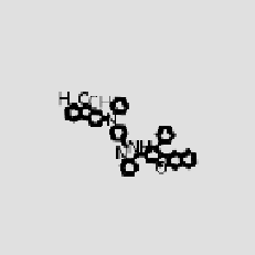 CC1(C)c2ccccc2-c2ccc(N(c3ccccc3)c3ccc(C4=Nc5ccccc5C(c5cc(-c6ccccc6)c6c(c5)oc5cc7ccccc7cc56)N4)cc3)cc21